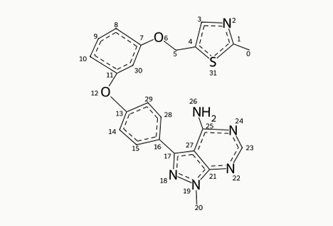 Cc1ncc(COc2cccc(Oc3ccc(-c4nn(C)c5ncnc(N)c45)cc3)c2)s1